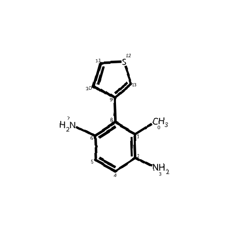 Cc1c(N)ccc(N)c1-c1ccsc1